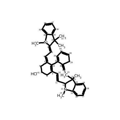 CN1C(=CC=C2CCCC(C=CC3N(C)c4ccccc4C3(C)C)=C2C2=CC=CCC2=S)C(C)(C)c2ccccc21.Cl